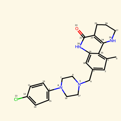 Cc1cc(CN2CCN(c3ccc(Cl)cc3)CC2)cc2[nH]c(=O)c3c(c12)NCCC3